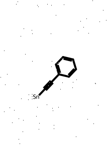 [Sn][C]#Cc1ccccc1